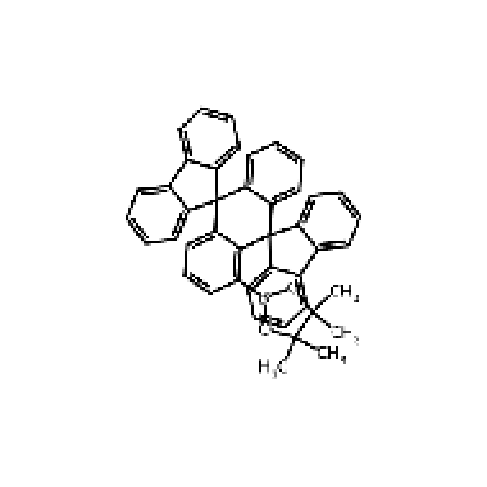 CC1(C)OB(c2cccc3c2C2(c4ccccc4-c4ccccc42)c2ccccc2C32c3ccccc3-c3ccccc32)OC1(C)C